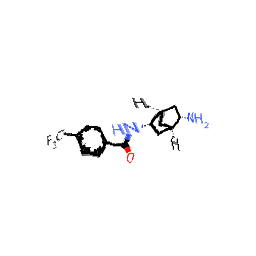 N[C@H]1C[C@H]2C[C@@H]1C[C@@H]2NC(=O)c1ccc(C(F)(F)F)cc1